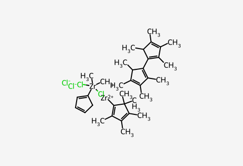 CC1=C(C)C(C)(C)[C]([Zr+2])=C1C.CC1=C(C)C(C)C(C2=C(C)C(C)=C(C)C2C)=C1C.[CH3][Zr]([CH3])([Cl])([Cl])[C]1=CC=CC1.[Cl-].[Cl-]